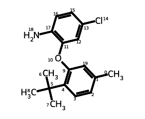 Cc1ccc(C(C)(C)C)c(Oc2cc(Cl)ccc2N)c1